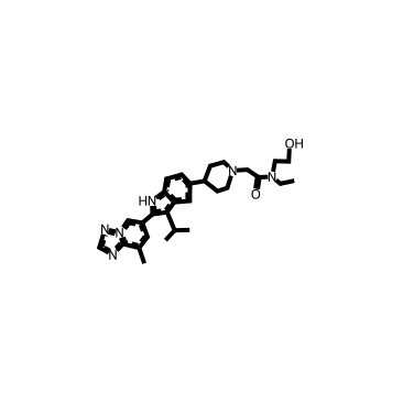 CCN(CCO)C(=O)CN1CCC(c2ccc3[nH]c(-c4cc(C)c5ncnn5c4)c(C(C)C)c3c2)CC1